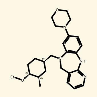 CCO[C@H]1CC[C@@H](CN2Cc3cccnc3Nc3ccc(N4CCOCC4)cc32)C[C@H]1C